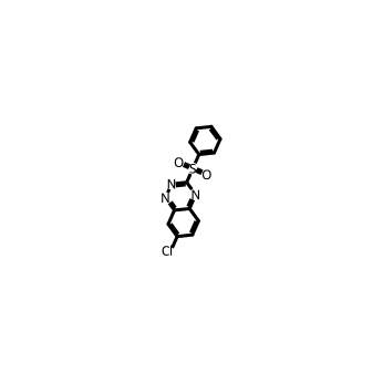 O=S(=O)(c1ccccc1)c1nnc2cc(Cl)ccc2n1